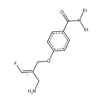 CCN(CC)C(=O)c1ccc(OC/C(=C\F)CN)cc1